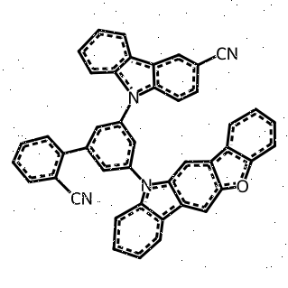 N#Cc1ccc2c(c1)c1ccccc1n2-c1cc(-c2ccccc2C#N)cc(-n2c3ccccc3c3cc4oc5ccccc5c4cc32)c1